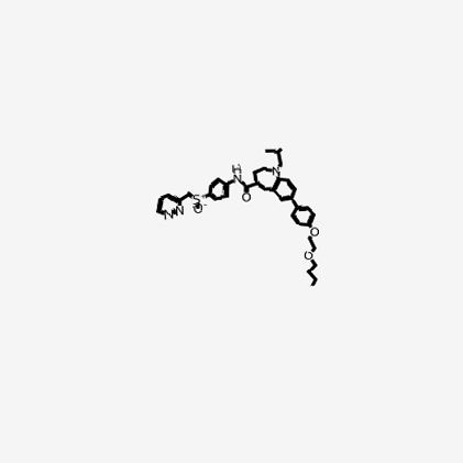 CCCCOCCOc1ccc(-c2ccc3c(c2)C=C(C(=O)Nc2ccc([S+]([O-])Cc4cccnn4)cc2)CCN3CC(C)C)cc1